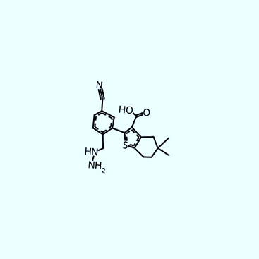 CC1(C)CCc2sc(-c3cc(C#N)ccc3CNN)c(C(=O)O)c2C1